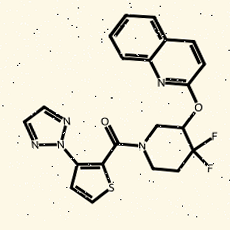 O=C(c1sccc1-n1nccn1)N1CCC(F)(F)C(Oc2ccc3ccccc3n2)C1